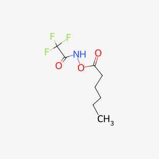 CCCCCC(=O)ONC(=O)C(F)(F)F